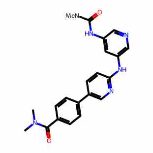 CNC(=O)Nc1cncc(Nc2ccc(-c3ccc(C(=O)N(C)C)cc3)cn2)c1